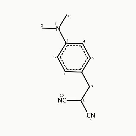 CN(C)c1ccc(CC(C#N)C#N)cc1